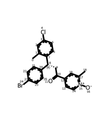 Cc1cc(Cl)ccc1[C@H](CC(=O)c1cc[n+]([O-])c(C)c1)c1ccc(Br)cc1